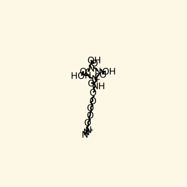 [N-]=[N+]=NCCOCCOCCOCCOCCOCCNC(=O)CN1CCN(CC(=O)O)CCN(CC(=O)O)CCN(CC(=O)O)CC1